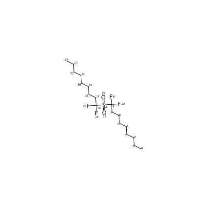 CCCCCCCCC(F)(F)S(=O)(=O)C(F)(F)CCCCCCCC